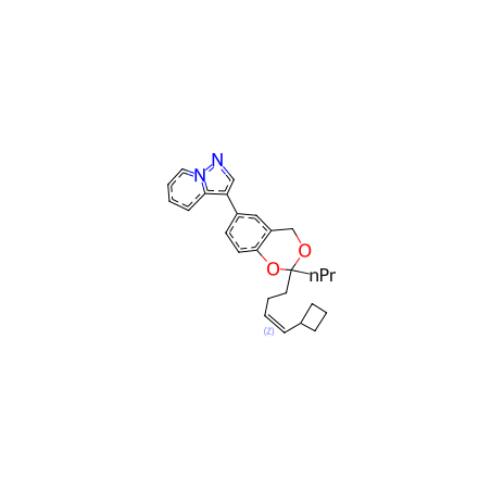 CCCC1(CC/C=C\C2CCC2)OCc2cc(-c3cnn4ccccc34)ccc2O1